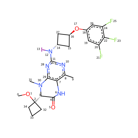 COC1([C@H]2C(=O)Nc3c(C)nc(N(I)[C@H]4C[C@H](Oc5cc(F)c(F)c(F)c5)C4)nc3N2C)CCC1